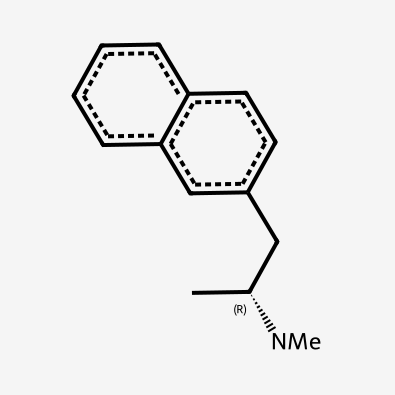 CN[C@H](C)Cc1ccc2ccccc2c1